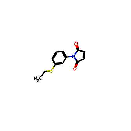 CCSc1cccc(N2C(=O)C=CC2=O)c1